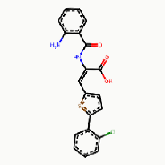 Nc1ccccc1C(=O)NC(=Cc1ccc(-c2ccccc2Cl)s1)C(=O)O